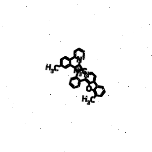 Cc1ccc2c(c1)C1C(c3ccccc3-c3c4oc5c(C)cccc5c4cc[n+]3C)=CC1[n+]1ccccc1-2